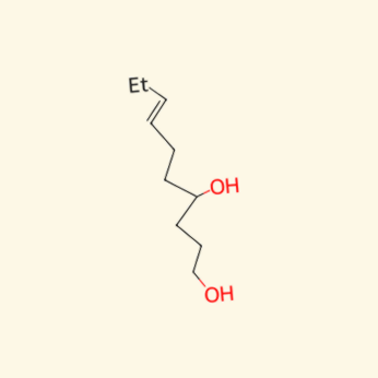 CCC=CCCC(O)CCCO